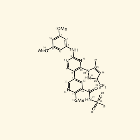 COc1cc(Nc2ncc(-c3cnc(SC)c(C(=O)NS(C)(=O)=O)c3)c(N3NC(C(F)(F)F)C=C3C)n2)cc(OC)c1